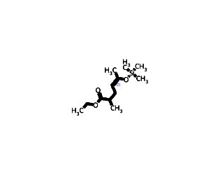 CCOC(=O)C(C)C/C=C(/C)O[Si](C)(C)C